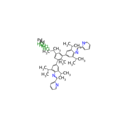 Cc1c(-c2cc(C(C)C)c(N=Cc3ccccn3)c(C(C)C)c2)cc(C(C)C)cc1-c1cc(C(C)C)c(N=Cc2ccccn2)c(C(C)C)c1.Cl.Cl.Cl.Cl.[Pd].[Pd]